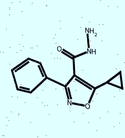 NNC(=O)c1c(-c2ccccc2)noc1C1CC1